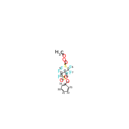 COOOSC(F)(F)C(F)(F)C(F)(F)S(=O)(=O)Oc1ccccc1